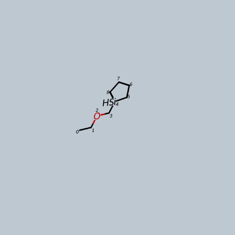 CCOC[SiH]1CCCC1